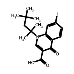 CC(C)(C)CC(C)(C)n1cc(C(=O)O)c(=O)c2ccc(I)cc21